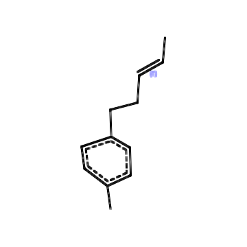 C/C=C/CCc1ccc(C)cc1